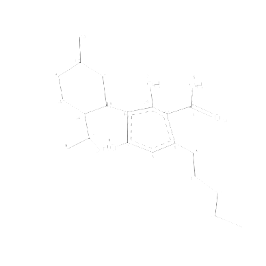 CCCCCc1cc(O)c(C2CC(C)CCC2C(C)C)c(O)c1C(=O)O